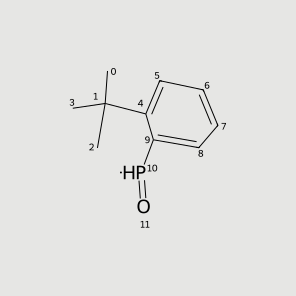 CC(C)(C)c1ccccc1[PH]=O